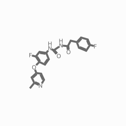 Cc1cc(Oc2ccc(NC(=O)NC(=O)Cc3ccc(F)cc3)cc2F)ccn1